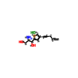 CCCCCCCCCCC#Cc1csc(C(O)C(N)CO)c1.Cl